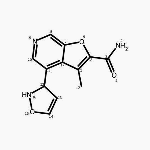 Cc1c(C(N)=O)oc2cncc(C3C=CON3)c12